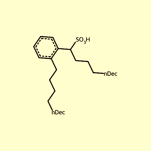 CCCCCCCCCCCCCCc1ccccc1C(CCCCCCCCCCCCC)S(=O)(=O)O